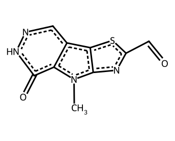 Cn1c2nc(C=O)sc2c2cn[nH]c(=O)c21